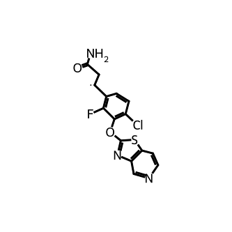 NC(=O)C[CH]c1ccc(Cl)c(Oc2nc3cnccc3s2)c1F